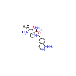 CC(N)C(=O)[C@@]1(C(N)=O)CCCN1Cc1ccc2c(N)nccc2c1